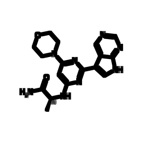 C[C@H](Nc1cc(N2CCOCC2)nc(-c2c[nH]c3ncncc23)n1)C(N)=O